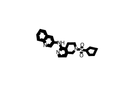 O=S(=O)(C1CCCC1)N1CCc2c(ccnc2Nc2cnc3ccccc3c2)C1